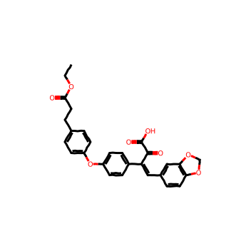 CCOC(=O)CCc1ccc(Oc2ccc(C(=Cc3ccc4c(c3)OCO4)C(=O)C(=O)O)cc2)cc1